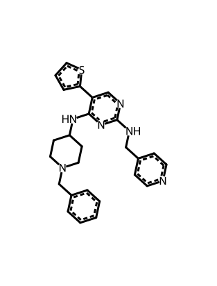 c1ccc(CN2CCC(Nc3nc(NCc4ccncc4)ncc3-c3cccs3)CC2)cc1